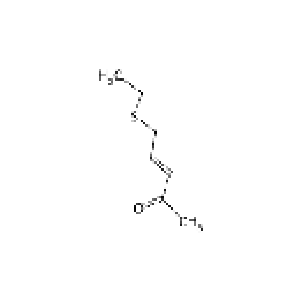 CCSCC=CC(C)=O